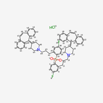 Cl.O=S(=O)(c1ccc(F)cc1CCCN1CCC(=C2c3ccccc3C=Cc3ccccc32)CC1)c1ccc(F)cc1CCCN1CCC(=C2c3ccccc3C=Cc3ccccc32)CC1